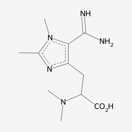 Cc1nc(CC(C(=O)O)N(C)C)c(C(=N)N)n1C